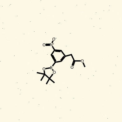 COC(=O)Cc1cc(B2OC(C)(C)C(C)(C)O2)cc([N+](=O)[O-])c1